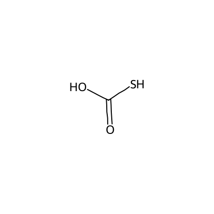 O=C(O)S